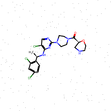 C[C@@H](Nc1nc(N2CCN(C(=O)[C@@H]3CNCCO3)CC2)ncc1Cl)c1ccc(Cl)cc1Cl